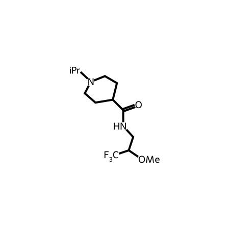 COC(CNC(=O)C1CCN(C(C)C)CC1)C(F)(F)F